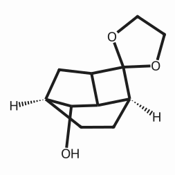 OC1C2C3C[C@@H]1CC[C@@H]2C31OCCO1